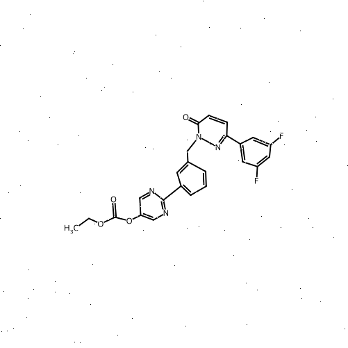 CCOC(=O)Oc1cnc(-c2cccc(Cn3nc(-c4cc(F)cc(F)c4)ccc3=O)c2)nc1